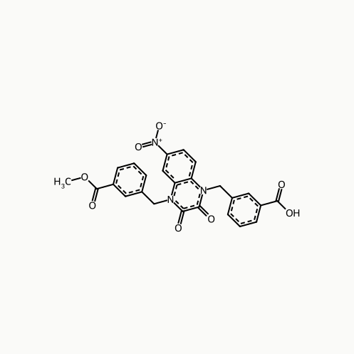 COC(=O)c1cccc(Cn2c(=O)c(=O)n(Cc3cccc(C(=O)O)c3)c3ccc([N+](=O)[O-])cc32)c1